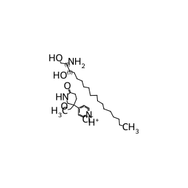 CCC1(c2ccncc2)CCC(=O)NC1=O.CCCCCCCCCCCCCCC[C@H](O)[C@@H](N)CO.[Cl-].[H+]